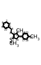 C=C1C(CCc2ccccc2)=C(SC)CC1c1ccc(C)cc1